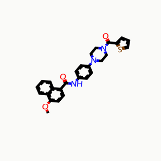 COc1ccc(C(=O)Nc2ccc(N3CCN(C(=O)c4cccs4)CC3)cc2)c2ccccc12